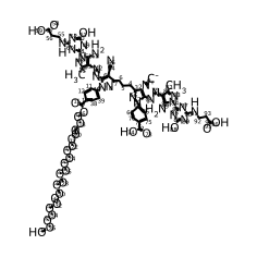 [C-]#[N+]c1c(CCCc2nn(-c3ccc(C(=O)OOOOOOOOOOOOOOOOOOOOOO)cc3)c(/N=N/c3c(C)nn(-c4nc(O)nc(NCCC(=O)O)n4)c3N)c2C#N)nn(-c2ccc(C(=O)O)cc2)c1/N=N/c1c(C)nn(-c2nc(O)nc(NCCC(=O)O)n2)c1N